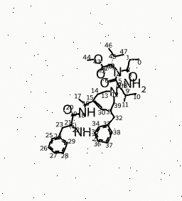 CCC(=O)N(C(=O)[C@@](N)(C(C)C)N1CCC(C(C)NC(=O)[C@@H](N)Cc2ccccc2)=CC(Cc2ccccc2)C1)[C@H](C(=O)OC)C(C)C